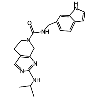 CC(C)Nc1ncc2c(n1)CN(C(=O)NCc1ccc3cc[nH]c3c1)CC2